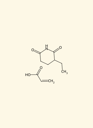 C=CC(=O)O.CCC1CCC(=O)NC1=O